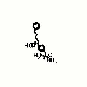 CC(N)(Cc1ccc(NCCCCc2ccccc2)cc1)C(N)=O.Cl.Cl